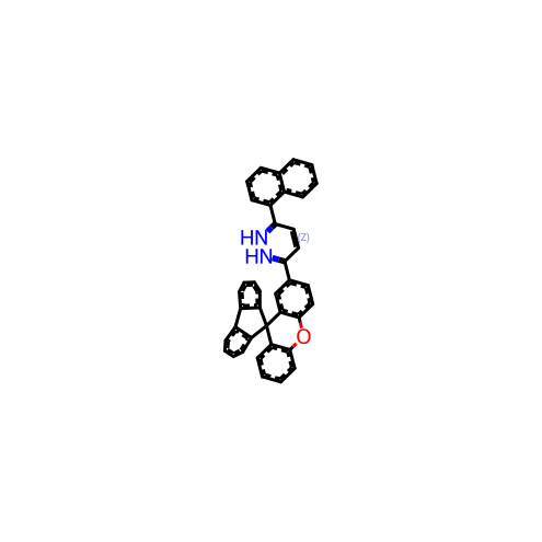 N=C(/C=C\C(=N)c1cccc2ccccc12)c1ccc2c(c1)C1(c3ccccc3O2)c2ccccc2-c2ccccc21